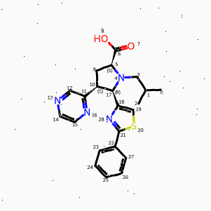 CC(C)CN1[C@H](C(=O)O)C[C@H](c2cnccn2)[C@@H]1c1csc(-c2ccccc2)n1